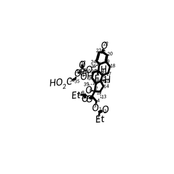 CCC(=O)OCC(=O)[C@@]1(OC(=O)CC)[C@@H](C)C[C@H]2[C@@H]3CCC4=CC(=O)C=C[C@]4(C)C3(F)[C@@H](OP(=O)(O)OCC(=O)O)C[C@@]21C